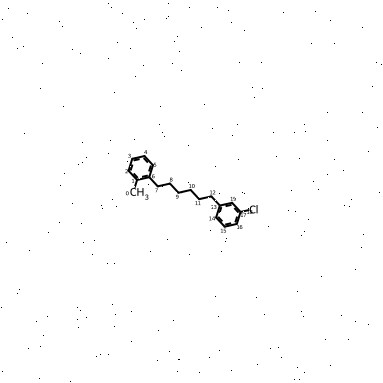 Cc1ccccc1CC[CH]CCCc1cccc(Cl)c1